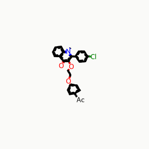 CC(=O)c1ccc(OCCOc2c(-c3ccc(Cl)cc3)n(C)c3ccccc3c2=O)cc1